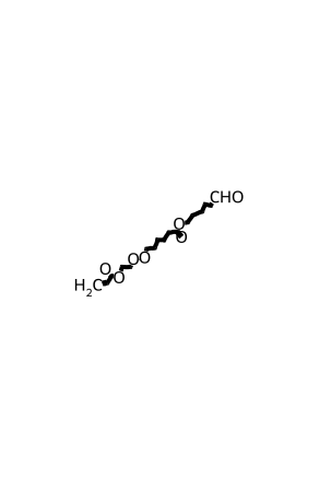 C=CC(=O)OCCOOCCCCCC(=O)OCCCCCC=O